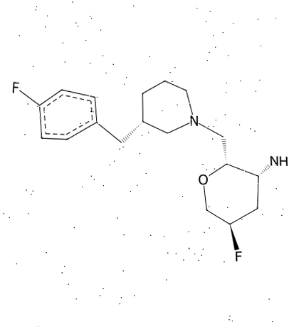 N[C@@H]1C[C@@H](F)CO[C@@H]1CN1CCC[C@@H](Cc2ccc(F)cc2)C1